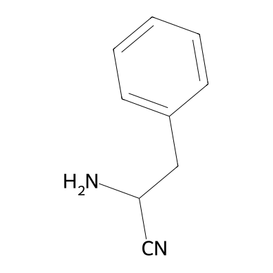 N#CC(N)Cc1ccccc1